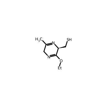 CCOC1=NCC(C)=N[C@H]1CS